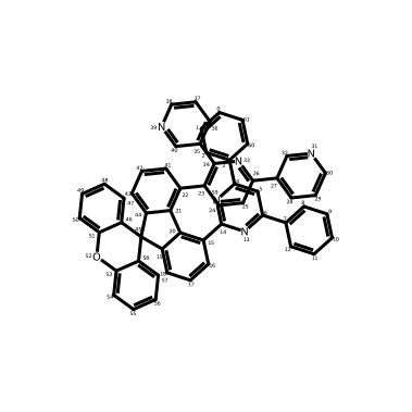 c1ccc(-c2cc(-c3ccccc3)nc(-c3cccc4c3-c3c(-c5ccc(-c6cccnc6)nc5-c5cccnc5)cccc3C43c4ccccc4Oc4ccccc43)n2)cc1